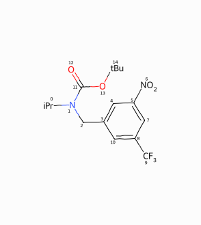 CC(C)N(Cc1cc([N+](=O)[O-])cc(C(F)(F)F)c1)C(=O)OC(C)(C)C